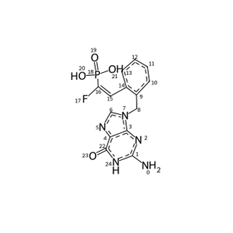 Nc1nc2c(ncn2Cc2ccccc2C=C(F)P(=O)(O)O)c(=O)[nH]1